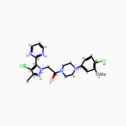 COc1cc(N2CCN(C(=O)Cn3nc(C)c(Cl)c3-c3ncccn3)CC2)ccc1Cl